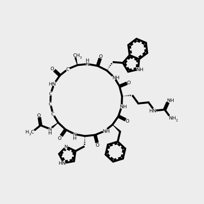 CC(=O)N[C@H]1CCCNC(=O)C[C@@H](C)NC(=O)[C@H](Cc2c[nH]c3ccccc23)NC(=O)[C@H](CCCNC(=N)N)NC(=O)[C@@H](Cc2ccccc2)NC(=O)[C@H](Cc2c[nH]cn2)NC1=O